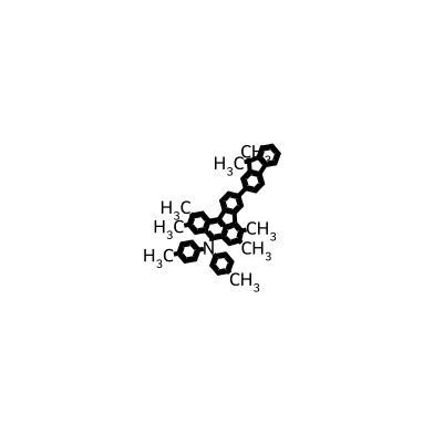 Cc1ccc(N(c2ccc(C)cc2)c2c3cc(C)c(C)cc3c3c4c(c(C)c(C)cc24)-c2cc(-c4ccc5c(c4)C(C)(C)c4ccccc4-5)ccc2-3)cc1